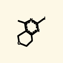 Cc1nc(I)nc2c1COCC2